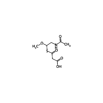 COC(CNC(C)=O)SC(=O)CC(=O)O